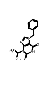 CC(C)n1c(=O)[nH]c(=O)c2c1ncn2Cc1ccccc1